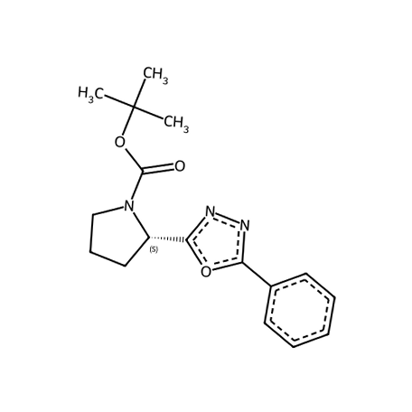 CC(C)(C)OC(=O)N1CCC[C@H]1c1nnc(-c2ccccc2)o1